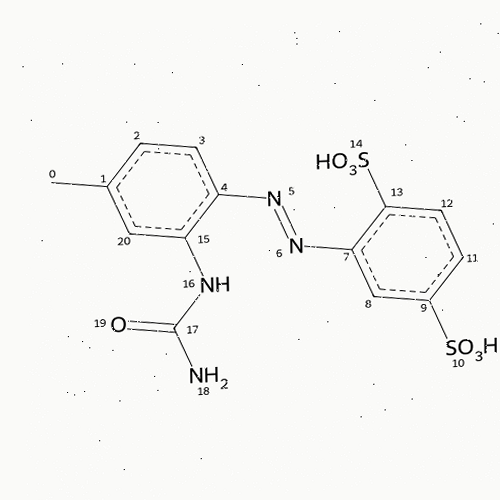 Cc1ccc(N=Nc2cc(S(=O)(=O)O)ccc2S(=O)(=O)O)c(NC(N)=O)c1